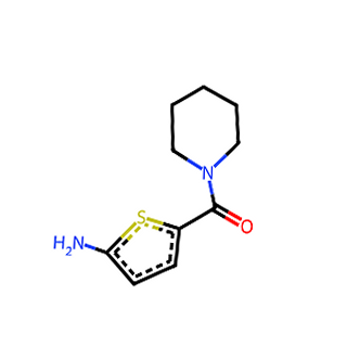 Nc1ccc(C(=O)N2CCCCC2)s1